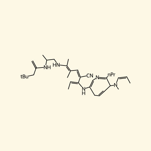 C=C(CC(C)(C)C)NC(C)CN/C(C)=C(C)/C=C(C#N)\C(=C\C)N/C1=C/N=C(/CCC)C(N(C)/C=C\C)C=CC1